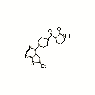 CCc1cc2c(N3CCN(C(=O)C4CCCNC4=O)CC3)ncnc2s1